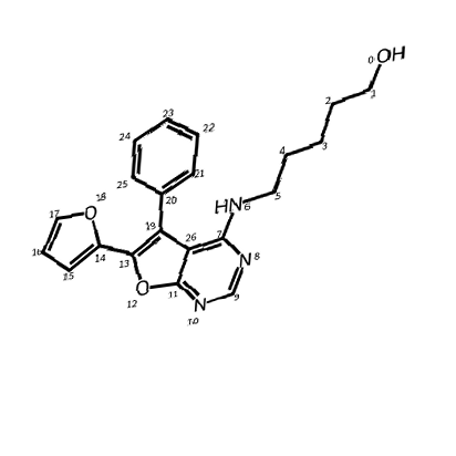 OCCCCCNc1ncnc2oc(-c3ccco3)c(-c3ccccc3)c12